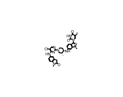 C[C@@H]1CN(c2ncc(Cl)c(Nc3ccc4c(c3)CC(=O)N4C)n2)CC[C@H]1Nc1ccc2c(-n3cc(F)c(=O)[nH]c3=O)nn(C)c2c1